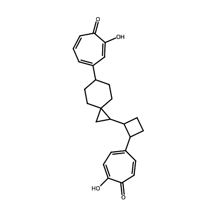 O=c1ccc(C2CCC2C2CC23CCC(c2cccc(=O)c(O)c2)CC3)ccc1O